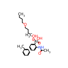 CC(=O)Nc1ccccc1[As](=O)(O)OO.CCCCOCCCC.Cc1ccccc1